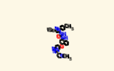 Cc1ccc(-n2nc(C(C)(C)C)cc2NC(=O)N[C@H]2CC[C@@H](Oc3ccc4nnc([C@@H]5CCCN(C)C5)n4c3)c3ccccc32)cc1